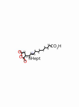 CCCCCCCC(/C=C/CCCCCCCC(=O)O)C1CC(=O)OC1=O